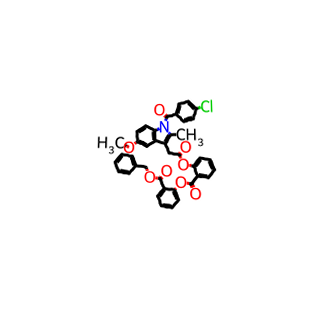 COc1ccc2c(c1)c(CC(=O)Oc1ccccc1C(=O)Oc1ccccc1C(=O)OCc1ccccc1)c(C)n2C(=O)c1ccc(Cl)cc1